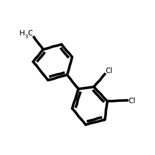 Cc1ccc(-c2cccc(Cl)c2Cl)cc1